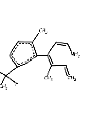 C=C/C(C)=C(\C=C/N)c1cc(C(C)(F)F)ccc1C